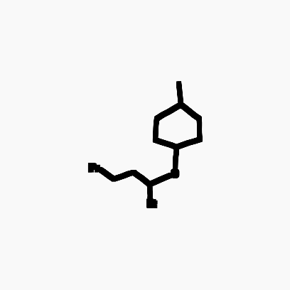 CCC(CCC(C)C)OC1CCC(C)CC1